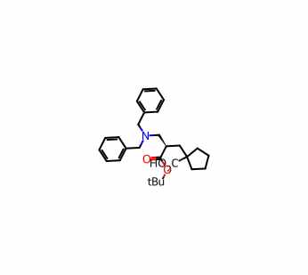 CC(C)(C)OC(=O)[C@@H](CN(Cc1ccccc1)Cc1ccccc1)CC1(C(=O)O)CCCC1